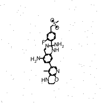 Cc1c(-c2cc(N)c3c(c2)NC(N)(c2ccc(CS(C)(=O)=O)cc2F)N=C3)cnc2c1NCCO2